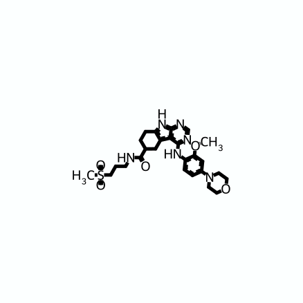 COc1cc(N2CCOCC2)ccc1Nc1ncnc2[nH]c3c(c12)CC(C(=O)NCCCS(C)(=O)=O)CC3